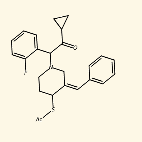 CC(=O)SC1CCN(C(C(=O)C2CC2)c2ccccc2F)CC1=Cc1ccccc1